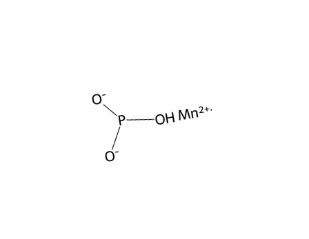 [Mn+2].[O-]P([O-])O